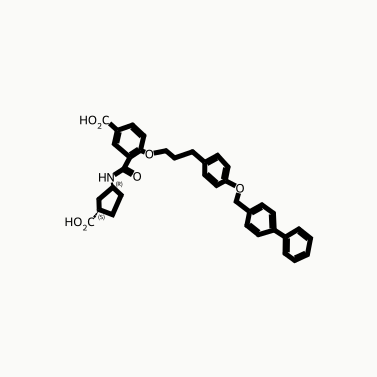 O=C(O)c1ccc(OCCCc2ccc(OCc3ccc(-c4ccccc4)cc3)cc2)c(C(=O)N[C@@H]2CC[C@H](C(=O)O)C2)c1